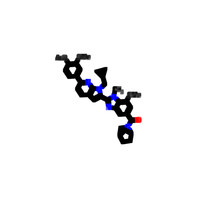 COc1cc(-c2ccc3cc(-c4nc5cc(C(=O)N6CC7CCC6C7)cc(OC)c5n4C)n(CC4CC4)c3n2)ccc1OC(C)=O